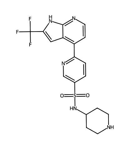 O=S(=O)(NC1CCNCC1)c1ccc(-c2ccnc3[nH]c(C(F)(F)F)cc23)nc1